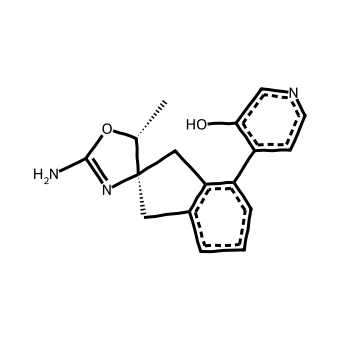 C[C@H]1OC(N)=N[C@@]12Cc1cccc(-c3ccncc3O)c1C2